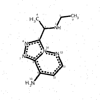 CCNC(C)c1nnc2c(N)ccnn12